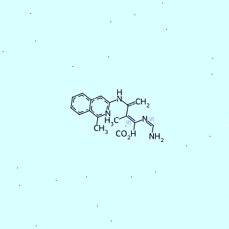 C=C(Nc1cc2ccccc2c(C)n1)/C(C)=C(\N=C/N)C(=O)O